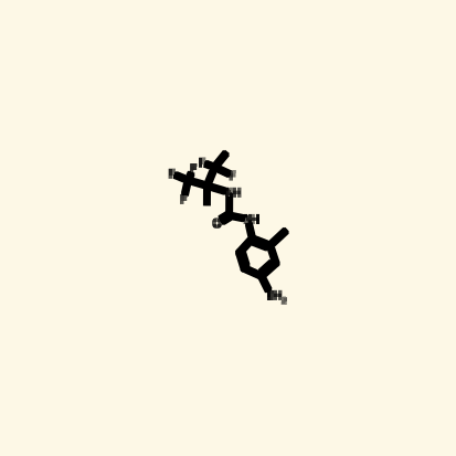 Bc1ccc(NC(=O)NC(C)(C(C)(F)F)C(F)(F)F)c(C)c1